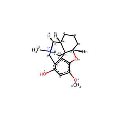 COc1cc(O)c2c3c1O[C@H]1CCC[C@H]4[C@@H](C2)N(C)CC[C@]314